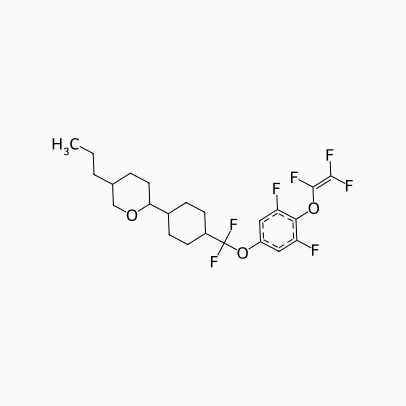 CCCC1CCC(C2CCC(C(F)(F)Oc3cc(F)c(OC(F)=C(F)F)c(F)c3)CC2)OC1